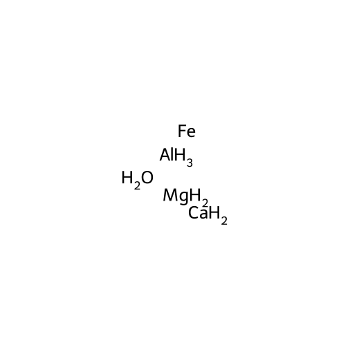 O.[AlH3].[CaH2].[Fe].[MgH2]